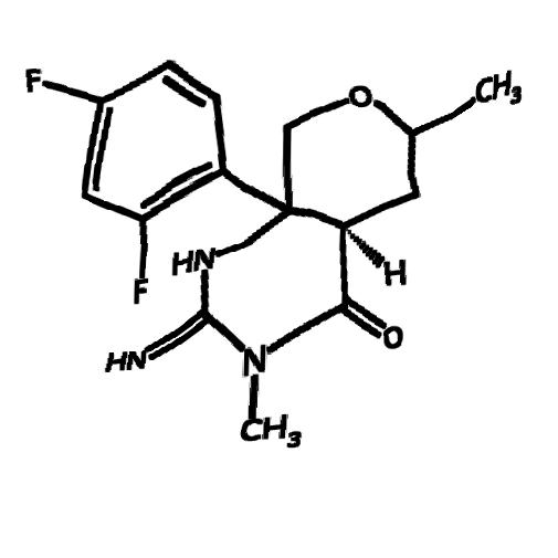 CC1C[C@H]2C(=O)N(C)C(=N)NC2(c2ccc(F)cc2F)CO1